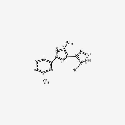 N#Cc1[nH]nnc1-c1sc(-c2cccc(C(F)(F)F)c2)nc1C(F)(F)F